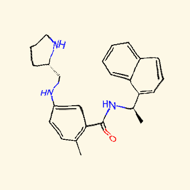 Cc1ccc(NC[C@@H]2CCCN2)cc1C(=O)N[C@H](C)c1cccc2ccccc12